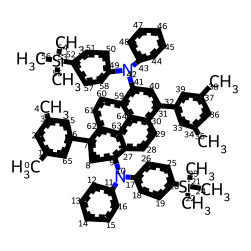 Cc1cc(C)cc(-c2cc(N(c3ccccc3)c3ccc([Si](C)(C)C)cc3)c3ccc4c(-c5cc(C)cc(C)c5)cc(N(c5ccccc5)c5ccc([Si](C)(C)C)cc5)c5ccc2c3c45)c1